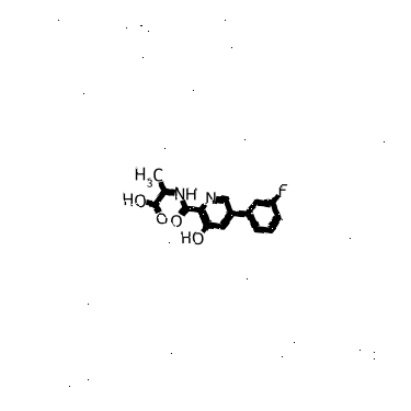 CC(NC(=O)c1ncc(-c2cccc(F)c2)cc1O)C(=O)O